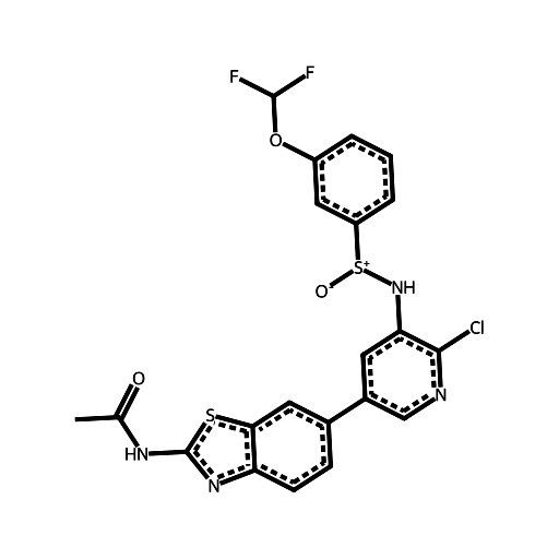 CC(=O)Nc1nc2ccc(-c3cnc(Cl)c(N[S+]([O-])c4cccc(OC(F)F)c4)c3)cc2s1